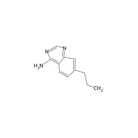 [CH2]CCc1ccc2c(N)ncnc2c1